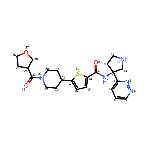 O=C(N[C@@]1(c2cccnn2)CCNC1)c1ccc(C2CCN(C(=O)C3CCOC3)CC2)s1